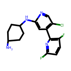 NC1CCC(Nc2cc(-c3nc(F)ccc3F)c(Cl)cn2)CC1